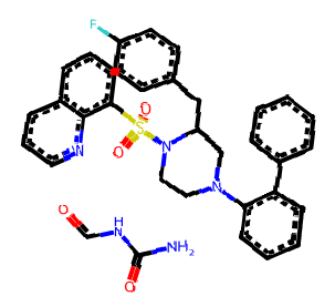 NC(=O)NC=O.O=S(=O)(c1cccc2cccnc12)N1CCN(c2ccccc2-c2ccccc2)CC1Cc1ccc(F)cc1